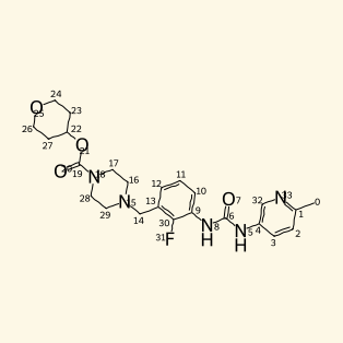 Cc1ccc(NC(=O)Nc2cccc(CN3CCN(C(=O)OC4CCOCC4)CC3)c2F)cn1